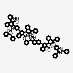 O=C1NC2=c3c(c4ccccc4n3-c3ccc4c(-c5ccccc5)nc(-c5ccccc5)nc4c3)=C3C=CC=CC3C2c2cc(-c3ccc4c(ccc5c(-c6ccccc6)nc(-n6c7c(c8ccccc86)=C6C=CC=CC6C6C=7NC(=O)c7c6cc(-c6ccc8c9c%10c(=O)[nH]c%11ccccc%11c%10c%10ccccc%10c9n(-c9nc(-c%10ccccc%10)c%10ccccc%10n9)c8c6)c6ccccc76)nc54)c3)c3ccccc3c21